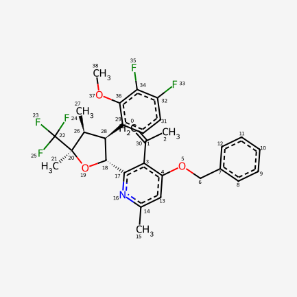 C=C(C)c1c(OCc2ccccc2)cc(C)nc1[C@@H]1O[C@@](C)(C(F)(F)F)[C@@H](C)[C@H]1c1ccc(F)c(F)c1OC